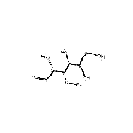 O=C[C@H](O)[C@@H](OF)[C@@H](O)[C@H](O)CO